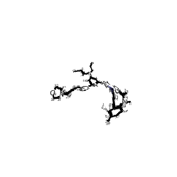 CCCN(CCC)c1cc(N/N=C/c2cc(C)ccc2N(C)C(C)=O)nc(OCCN2CCOCC2)c1